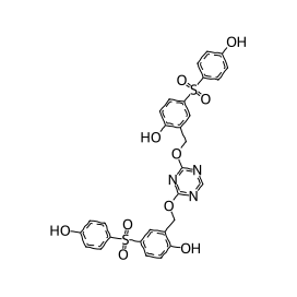 O=S(=O)(c1ccc(O)cc1)c1ccc(O)c(COc2ncnc(OCc3cc(S(=O)(=O)c4ccc(O)cc4)ccc3O)n2)c1